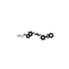 O=C(O)C[C@@H]1CCc2cc(OCCCOc3cccc(-c4nc5c(s4)CCCC5)c3)ccc21